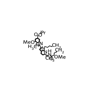 C=CCCCn1c(-c2nc3cc(C(=O)OC(C)C)cc(OC)c3n2C)cc2ccc([C@@H](C)NC(=O)C(CC=C)OC)nc21